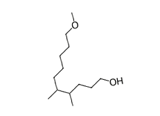 COCCCCCC(C)C(C)CCCO